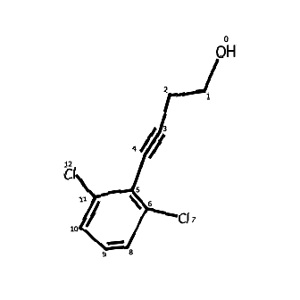 OCCC#Cc1c(Cl)cccc1Cl